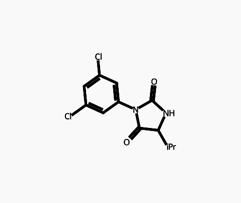 CC(C)C1NC(=O)N(c2cc(Cl)cc(Cl)c2)C1=O